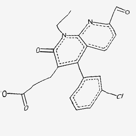 CCn1c(=O)c(CCC(=O)O)c(-c2cccc(Cl)c2)c2ccc(C=O)nc21